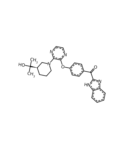 CC(C)(O)[C@@H]1CCCN(c2nccnc2Oc2ccc(C(=O)c3nc4ccccc4[nH]3)cc2)C1